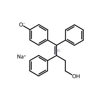 [Na+].[O-]c1ccc(/C(=C(/CCO)c2ccccc2)c2ccccc2)cc1